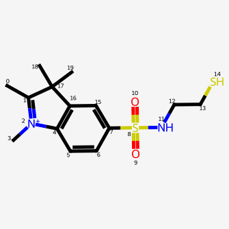 CC1=[N+](C)c2ccc(S(=O)(=O)NCCS)cc2C1(C)C